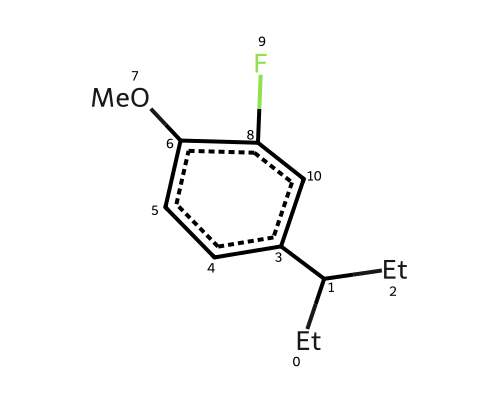 CCC(CC)c1ccc(OC)c(F)c1